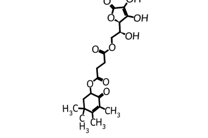 CC1=C(C)C(C)(C)CC(OC(=O)CCC(=O)OC[C@H](O)[C@H]2OC(=O)C(O)=C2O)C1=O